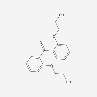 O=C(c1ccccc1OCCO)c1ccccc1OCCO